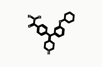 CCN(CC)C(=O)c1ccc(C(=C2CCNCC2)c2cccc(OC3CCCCC3)c2)cc1